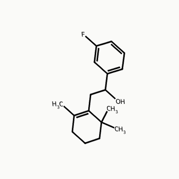 CC1=C(CC(O)c2cccc(F)c2)C(C)(C)CCC1